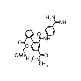 COCOC(=O)c1ccccc1-c1ccc(C(=O)N(C)C)cc1C(=O)Nc1ccc(C(=N)N)cc1